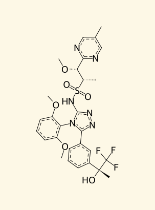 COc1cccc(OC)c1-n1c(NS(=O)(=O)[C@@H](C)[C@H](OC)c2ncc(C)cn2)nnc1-c1cccc([C@@](C)(O)C(F)(F)F)c1